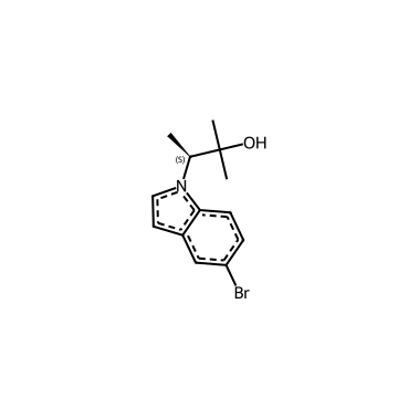 C[C@H](n1ccc2cc(Br)ccc21)C(C)(C)O